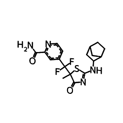 CC1(C(F)(F)c2ccnc(C(N)=O)c2)SC(NC2CC3CCC2C3)=NC1=O